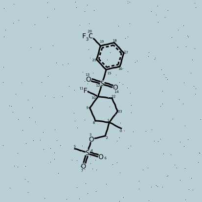 CC1(COS(C)(=O)=O)CCC(F)(S(=O)(=O)c2cccc(C(F)(F)F)c2)CC1